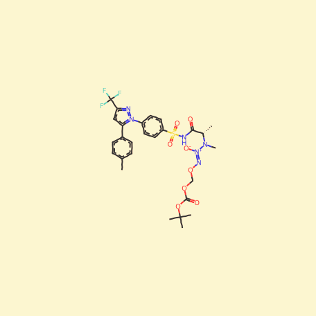 Cc1ccc(-c2cc(C(F)(F)F)nn2-c2ccc(S(=O)(=O)NC(=O)[C@H](C)N(C)[N+]([O-])=NOCOC(=O)OC(C)(C)C)cc2)cc1